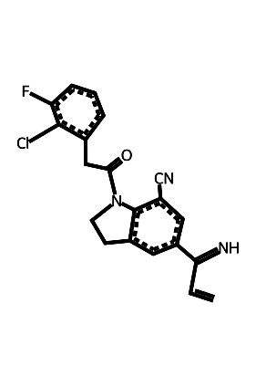 C=CC(=N)c1cc(C#N)c2c(c1)CCN2C(=O)Cc1cccc(F)c1Cl